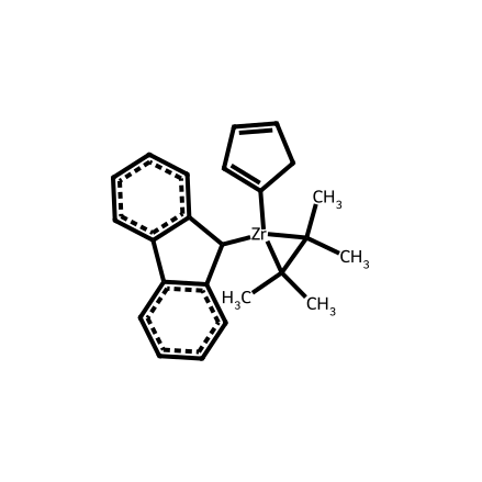 C[C]1(C)[C](C)(C)[Zr]1([C]1=CC=CC1)[CH]1c2ccccc2-c2ccccc21